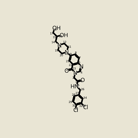 O=C(Cn1cnc2ccc(N3CCN(CC(O)CO)CC3)cc2c1=O)NCc1ccc(Cl)c(Cl)c1